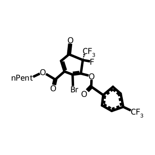 CCCCCOC(=O)C1=CC(=O)[C@](F)(C(F)(F)F)C(OC(=O)c2ccc(C(F)(F)F)cc2)=C1Br